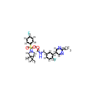 CC1(C)C2[C@@H](C(=O)NCc3ccc(F)c(-c4cnc(C(F)(F)F)nc4)c3)N(S(=O)(=O)c3ccc(F)cc3)C[C@@H]21